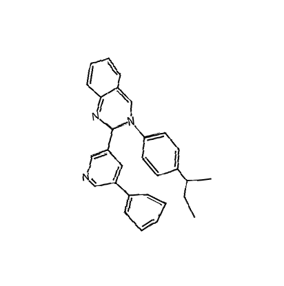 CCC(C)c1ccc(N2C=c3ccccc3=NC2c2cncc(-c3ccccc3)c2)cc1